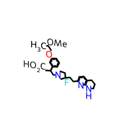 COC(C)COc1cccc(C(CC(=O)O)CN2CC[C@@](F)(CCc3ccc4c(n3)NCCC4)C2)c1